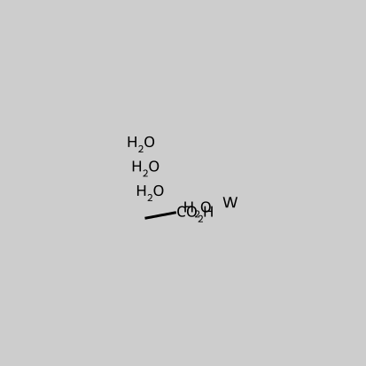 CC(=O)O.O.O.O.O.[W]